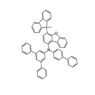 CC1(c2ccc(N(c3ccc(-c4ccccc4)cc3)c3cc(-c4ccccc4)cc(-c4ccccc4)c3)c3c2oc2ccccc23)c2ccccc2-c2ccccc21